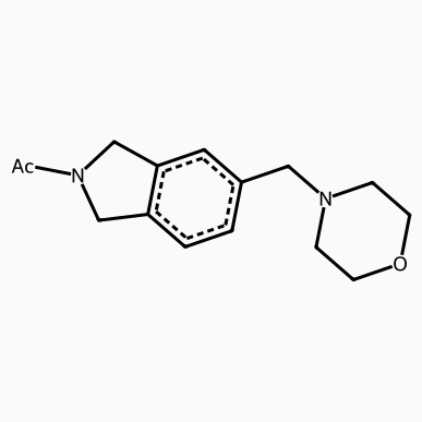 CC(=O)N1Cc2ccc(CN3CCOCC3)cc2C1